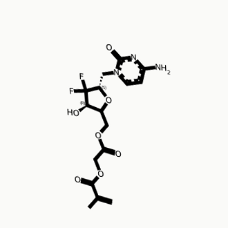 C=C(C)C(=O)OCC(=O)OCC1O[C@@H](Cn2ccc(N)nc2=O)C(F)(F)[C@@H]1O